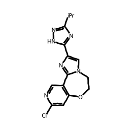 CC(C)c1n[nH]c(-c2cn3c(n2)-c2cnc(Cl)cc2OCC3)n1